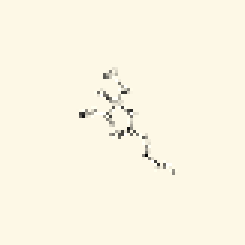 CC=CC(=O)OP(=O)(OCCC)OCCC